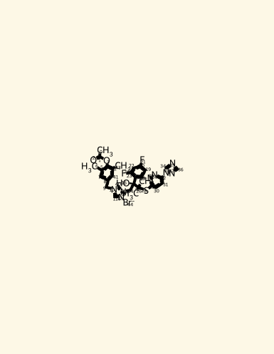 CC(=O)Oc1c(C)cc(C[n+]2cnn(C[C@](O)(c3ccc(F)cc3F)C(C)(C)Sc3ccc(-n4cncn4)nn3)c2)cc1C.[Br-]